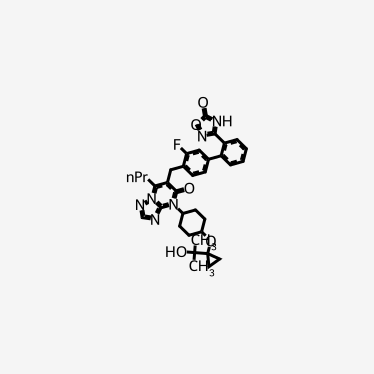 CCCc1c(Cc2ccc(-c3ccccc3-c3noc(=O)[nH]3)cc2F)c(=O)n(C2CCC(OC3(C(C)(C)O)CC3)CC2)c2ncnn12